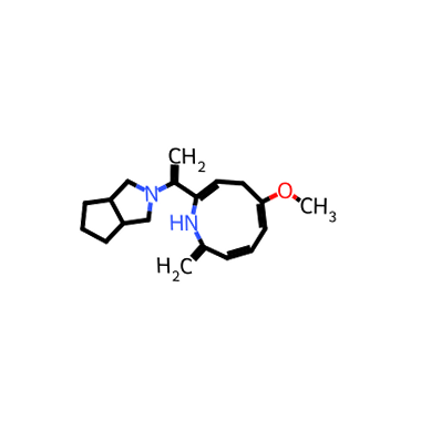 C=C1/C=C\C=C(\OC)C/C=C(/C(=C)N2CC3CCCC3C2)N1